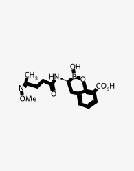 CO/N=C(/C)CCC(=O)N[C@H]1Cc2cccc(C(=O)O)c2OB1O